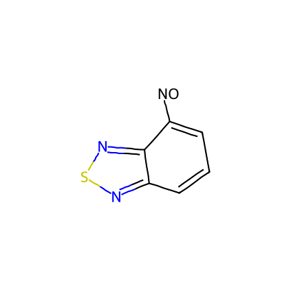 O=Nc1cccc2nsnc12